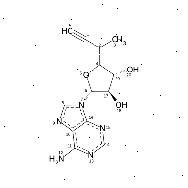 C#CC(C)C1O[C@@H](n2cnc3c(N)ncnc32)[C@H](O)[C@H]1O